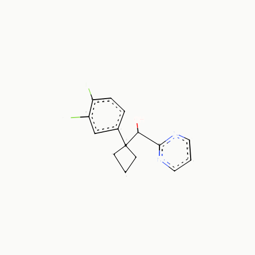 OC(c1ncccn1)C1(c2ccc(F)c(F)c2)CCC1